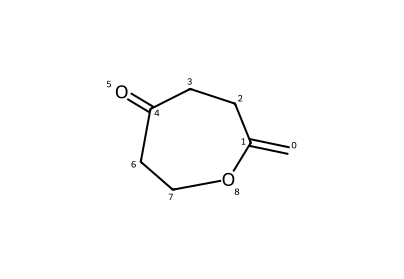 C=C1CCC(=O)CCO1